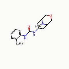 COc1ccccc1NC(=O)NC1CC2COCC(C1)N2C